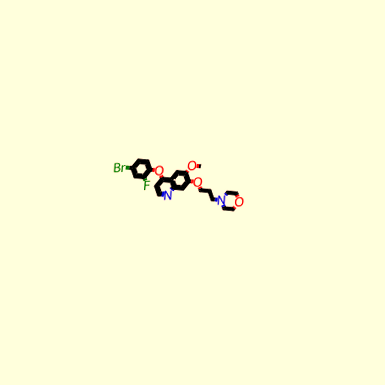 COc1cc2c(Oc3ccc(Br)cc3F)ccnc2cc1OCCCN1CCOCC1